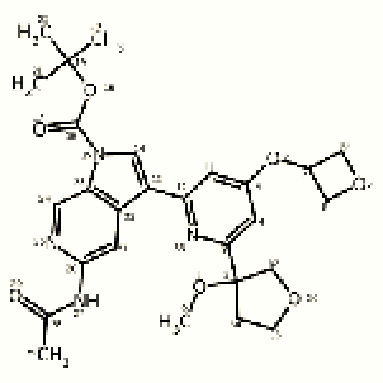 COC1(c2cc(OC3COC3)cc(-c3cn(C(=O)OC(C)(C)C)c4cnc(NC(C)=O)cc34)n2)CCOC1